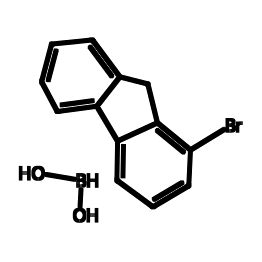 Brc1cccc2c1Cc1ccccc1-2.OBO